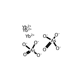 O=[As]([O-])([O-])[O-].O=[As]([O-])([O-])[O-].[Yb+2].[Yb+2].[Yb+2]